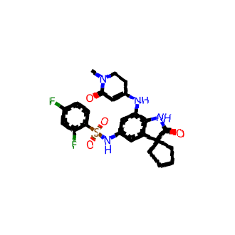 CN1CCC(Nc2cc(NS(=O)(=O)c3ccc(F)cc3F)cc3c2NC(=O)C32CCCC2)=CC1=O